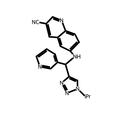 CC(C)n1cc(C(Nc2ccc3ncc(C#N)cc3c2)c2cccnc2)nn1